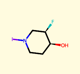 O[C@H]1CCN(I)C[C@H]1F